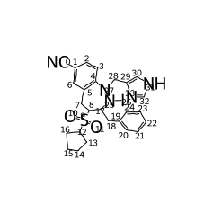 N#Cc1ccc2c(c1)CC(S(=O)(=O)C1CCCC1)C(Cc1ccccc1)N(I)N2Cc1c[nH]cn1